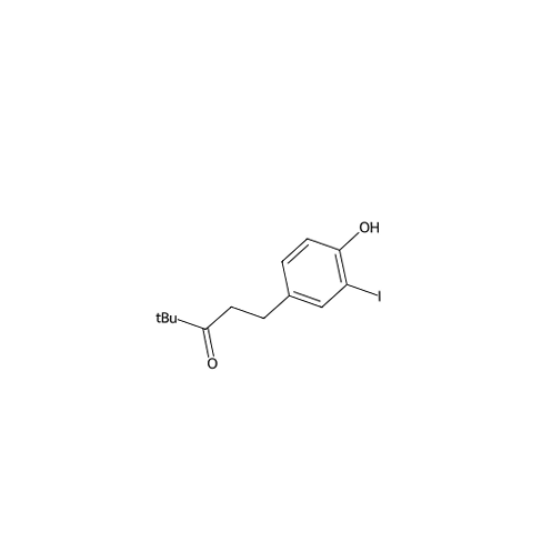 CC(C)(C)C(=O)CCc1ccc(O)c(I)c1